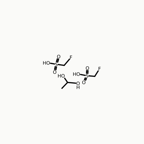 CC(O)O.O=S(=O)(O)CF.O=S(=O)(O)CF